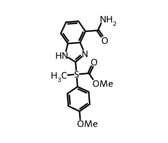 COC(=O)S(C)(c1ccc(OC)cc1)c1nc2c(C(N)=O)cccc2[nH]1